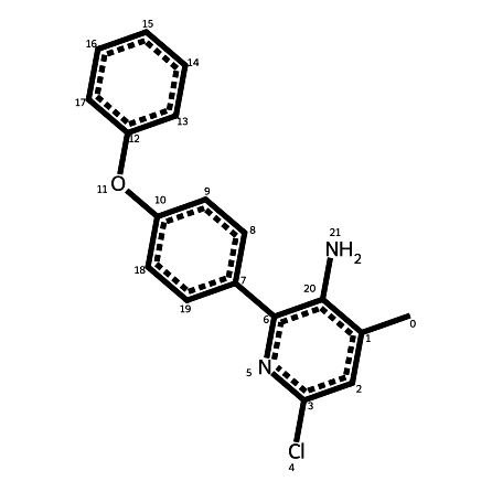 Cc1cc(Cl)nc(-c2ccc(Oc3ccccc3)cc2)c1N